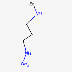 CCNCCCNN